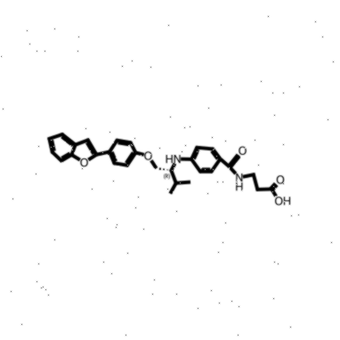 CC(C)[C@H](COc1ccc(-c2cc3ccccc3o2)cc1)Nc1ccc(C(=O)NCCC(=O)O)cc1